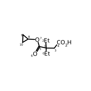 CCC(CC)(CC(=O)O)C(=O)OC1CC1